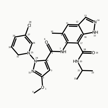 COc1cc(C(=O)Nc2c(C)cc3cn[nH]c3c2C(=O)NC(C)C)n(N2C=C(Cl)C=CC2)n1